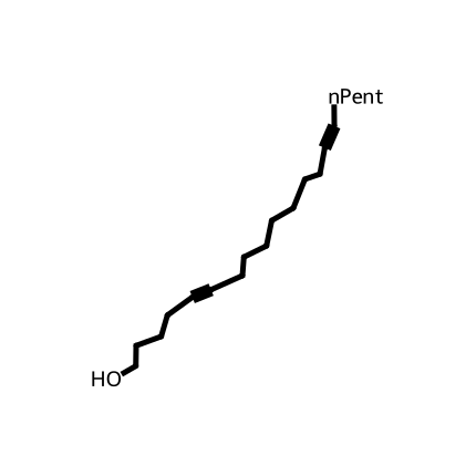 CCCCCC#CCCCCCCCC#CCCCCO